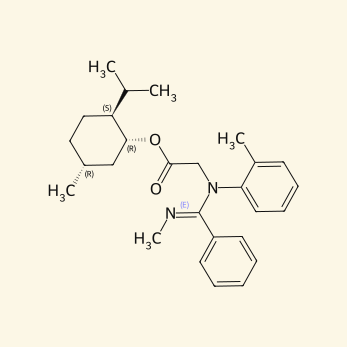 C/N=C(\c1ccccc1)N(CC(=O)O[C@@H]1C[C@H](C)CC[C@H]1C(C)C)c1ccccc1C